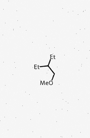 CCC(CC)COC